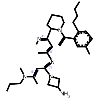 C=C(c1cc(C)ccc1CCCC)N1CCCCC1C(/C=C(C)/N=C(\C=C(/C)N(C)CCC)N1CC(N)C1)=N/C